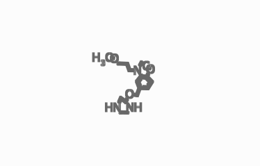 COCCCN1CCOc2ccc(COC3CNCCN3)cc21